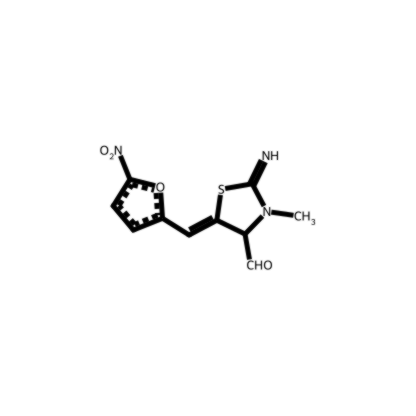 CN1C(=N)SC(=Cc2ccc([N+](=O)[O-])o2)C1C=O